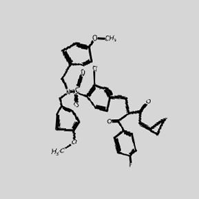 COc1ccc(CN(Cc2ccc(OC)cc2)S(=O)(=O)c2ccc(CC(C(=O)CC3CC3)C(=O)c3ccc(F)cc3)cc2Cl)cc1